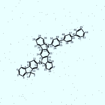 CC1(C)c2ccccc2-c2ccc(-n3c4ccccc4c4cc5c(cc43)c3ccccc3n5-c3ccc(-c4ccc(-c5ccccc5)cc4)cc3)cc21